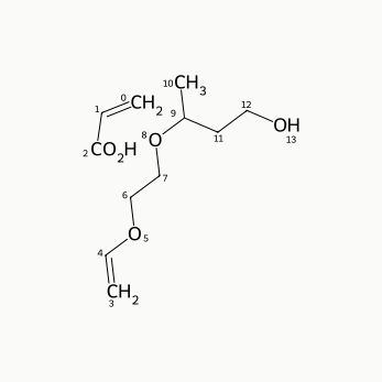 C=CC(=O)O.C=COCCOC(C)CCO